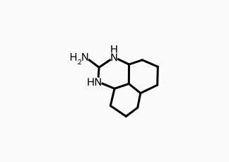 NC1NC2CCCC3CCCC(N1)C32